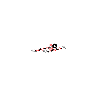 CCOCCOCCOCC.CCOCCOCCOCC.Oc1ccccc1O